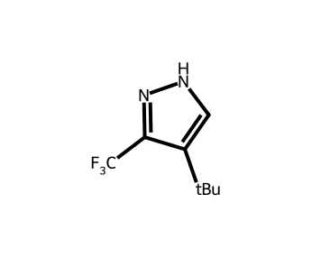 CC(C)(C)c1c[nH]nc1C(F)(F)F